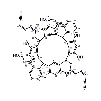 C#C/C=C\C=C/CC1c2cc(c(O)cc2O)C(c2ccccc2OCC(=O)O)c2cc(c(O)cc2O)C(C/C=C\C=C/C#C)c2cc(c(O)cc2O)C(c2ccccc2OCC(=O)O)c2cc1c(O)cc2O